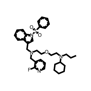 CCCN(CCOCCN(Cc1cccnc1F)Cc1cn(S(=O)(=O)c2ccccc2)c2ccccc12)C1CCCCC1